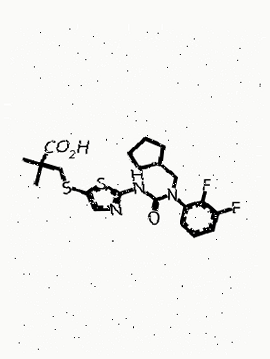 CC(C)(CSc1cnc(NC(=O)N(CC2CCCC2)c2cccc(F)c2F)s1)C(=O)O